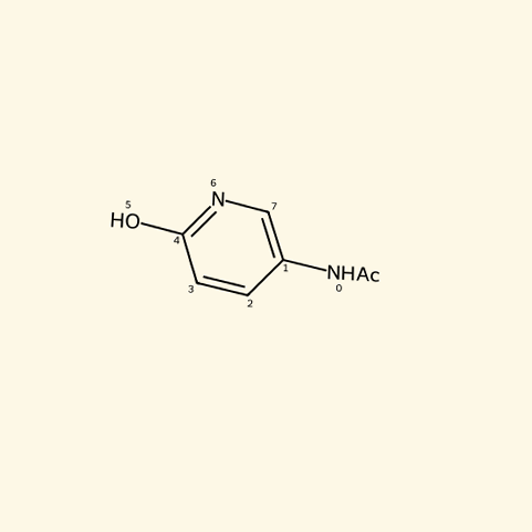 CC(=O)Nc1ccc(O)nc1